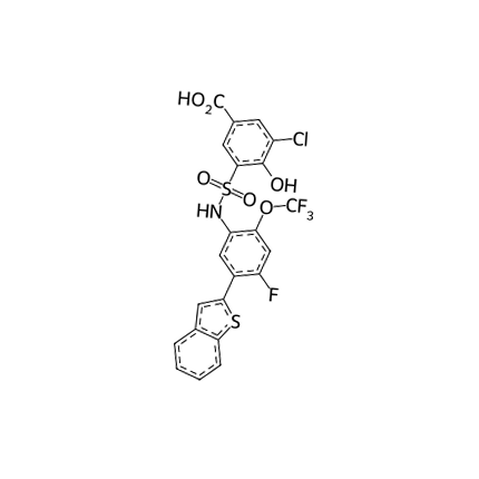 O=C(O)c1cc(Cl)c(O)c(S(=O)(=O)Nc2cc(-c3cc4ccccc4s3)c(F)cc2OC(F)(F)F)c1